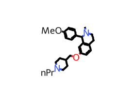 CCCN1CCC(COc2ccc3c(c2)C(c2ccc(OC)cc2)N(C)CC3)CC1